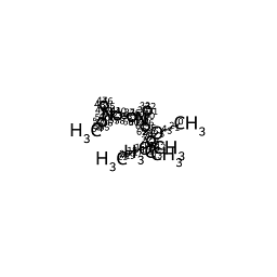 CCCCCCOc1cc(C(C)(C)C)c(OCCCCCC)cc1-c1ccc(N(c2ccccc2)c2ccc(-c3ccc(N(c4ccccc4)c4ccc(C)cc4)cc3)cc2)cc1